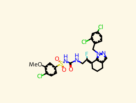 COc1cc(S(=O)(=O)NC(=O)NCC(F)=C2CCCc3cnn(Cc4ccc(Cl)cc4Cl)c32)ccc1Cl